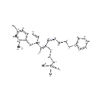 C/C(=C(CCOP(=O)(O)O)/[SH]=C\OCCc1ccccc1)N(C=O)Cc1cnc(C)nc1N